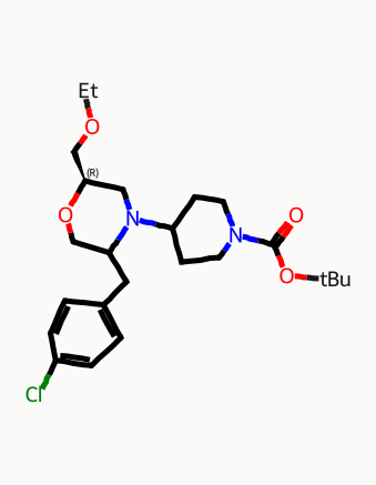 CCOC[C@H]1CN(C2CCN(C(=O)OC(C)(C)C)CC2)C(Cc2ccc(Cl)cc2)CO1